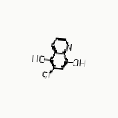 Oc1c(Cl)cc(O)c2ncccc12